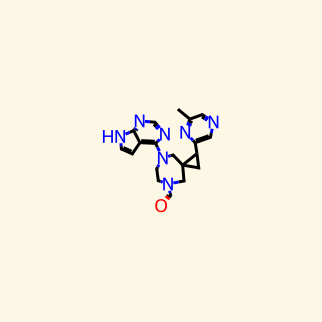 Cc1cncc(C2CC23CN(C=O)CCN(c2ncnc4[nH]ccc24)C3)n1